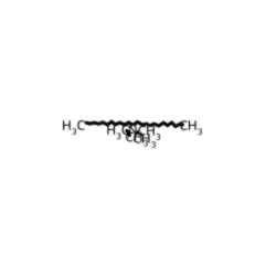 CCCCCCCCCCCCC(CCCCCCCCCCCC)N(C(C)C)C(C)C